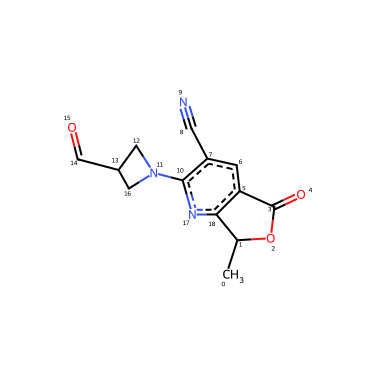 CC1OC(=O)c2cc(C#N)c(N3CC(C=O)C3)nc21